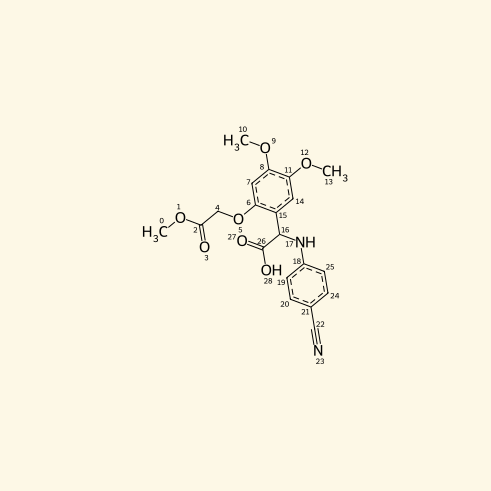 COC(=O)COc1cc(OC)c(OC)cc1C(Nc1ccc(C#N)cc1)C(=O)O